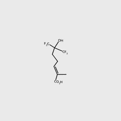 CC(=CCCC(O)(C(F)(F)F)C(F)(F)F)C(=O)O